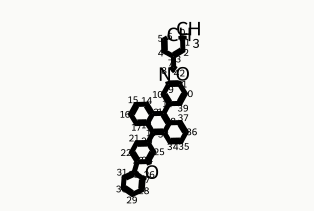 C#C/C=C(\C=C/C)c1nc2cc(-c3c4ccccc4c(-c4ccc5c(c4)oc4ccccc45)c4ccccc34)ccc2o1